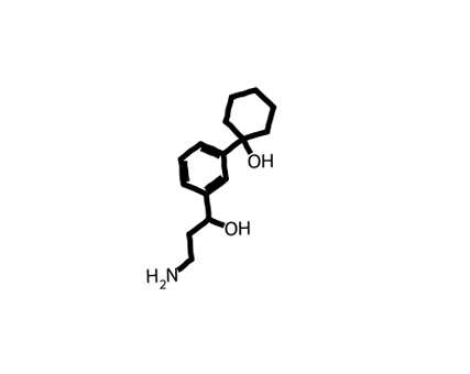 NCCC(O)c1cccc(C2(O)CCCCC2)c1